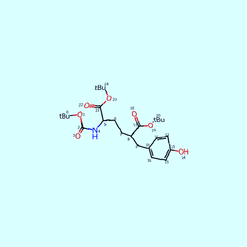 CC(C)(C)OC(=O)NC(CCC(Cc1ccc(O)cc1)C(=O)OC(C)(C)C)C(=O)OC(C)(C)C